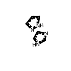 c1c[nH]cn1.c1cn[nH]c1